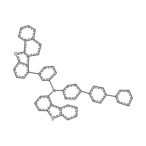 c1ccc(-c2ccc(-c3ccc(N(c4cccc(-c5cccc6oc7c8ccccc8ccc7c56)c4)c4cccc5sc6ccccc6c45)cc3)cc2)cc1